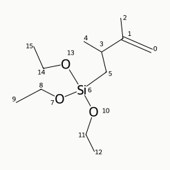 C=C(C)C(C)C[Si](OCC)(OCC)OCC